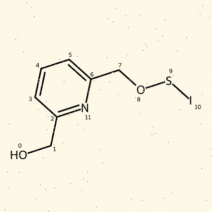 OCc1cccc(COSI)n1